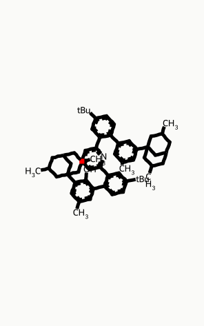 Cc1cc(-c2ccc(C(C)(C)C)cc2-c2cccc(-c3cc(C(C)(C)C)ccc3-c3cc(C)cc(C45CC(C)CC(CC(C)C4)C5)c3O)n2)cc(C23CC(C)CC(CC(C)C2)C3)c1